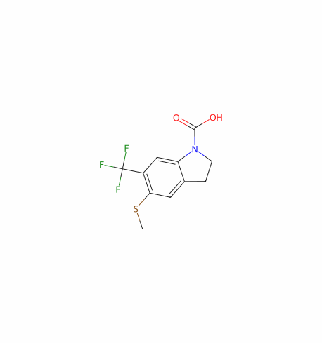 CSc1cc2c(cc1C(F)(F)F)N(C(=O)O)CC2